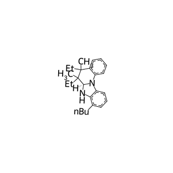 CCCCc1cccc2c1N[C@@H]1N2c2ccccc2C(C)(CC)C1(C)CC